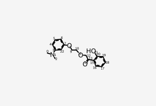 CN(C)c1cccc(OCCOCC(=O)c2ccccc2O)c1